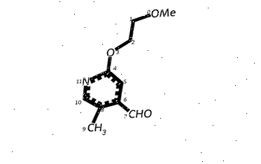 COCCOc1cc(C=O)c(C)cn1